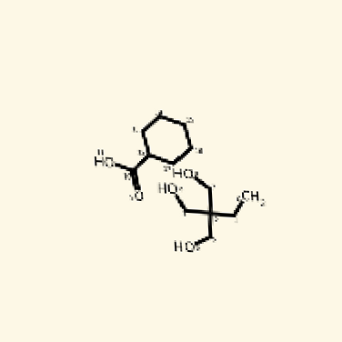 CCC(CO)(CO)CO.O=C(O)C1CCCCC1